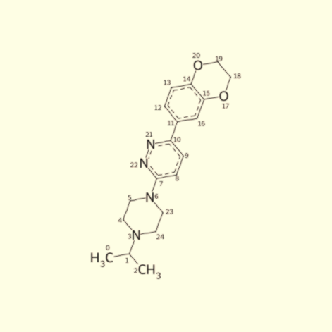 CC(C)N1CCN(c2ccc(-c3ccc4c(c3)OCCO4)nn2)CC1